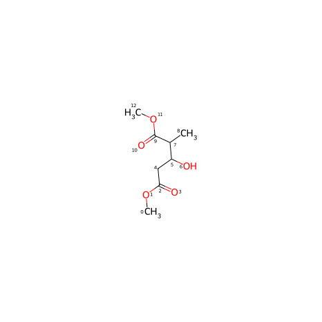 COC(=O)CC(O)C(C)C(=O)OC